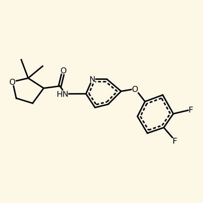 CC1(C)OCCC1C(=O)Nc1ccc(Oc2ccc(F)c(F)c2)cn1